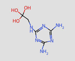 Nc1nc(N)nc(NCC(O)(O)O)n1